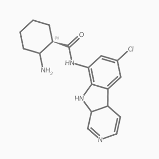 NC1CCCC[C@H]1C(=O)Nc1cc(Cl)cc2c1NC1C=NC=CC21